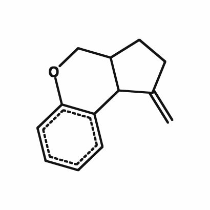 C=C1CCC2COc3ccccc3C12